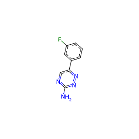 Nc1ncc(-c2cccc(F)c2)nn1